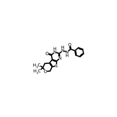 CC1(C)Cc2c(sc3nc(NNC(=O)c4ccccc4)[nH]c(=O)c23)CO1